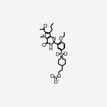 CCCc1c(C(C)=O)n(C)c2c(=O)[nH]c(-c3cc(S(=O)(=O)N4CCC(CCO[N+](=O)[O-])CC4)ccc3OCC)nc12